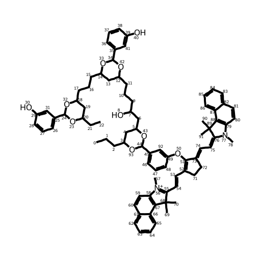 CCCC1CC(CC(O)CCCC2CC(CCCC3CC(CC)OC(c4cccc(O)c4)O3)OC(c3cccc(O)c3)O2)OC(c2cccc(OC3=C(/C=C/C4=[N+](C)c5ccc6ccccc6c5C4(C)C)CC/C3=C\C=C3\N(C)c4ccc5ccccc5c4C3(C)C)c2)O1